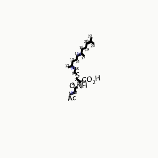 CC(=O)/C=C/C(=O)N[C@@H](CSC/C=C(\C)CC/C=C(\C)CCC=C(C)C)C(=O)O